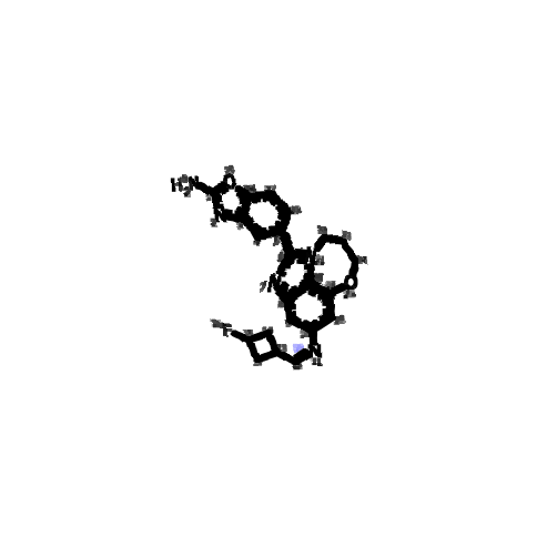 Nc1nc2cc(-c3nc4cc(/N=C\C5CC(F)C5)cc5c4n3CCCO5)ccc2o1